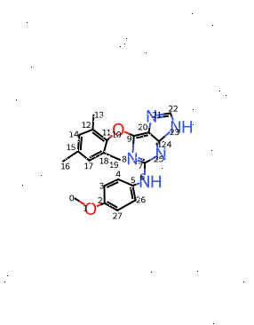 COc1ccc(Nc2nc(Oc3c(C)cc(C)cc3C)c3nc[nH]c3n2)cc1